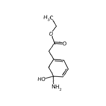 CCOC(=O)CC1=CC=CC(N)(O)C1